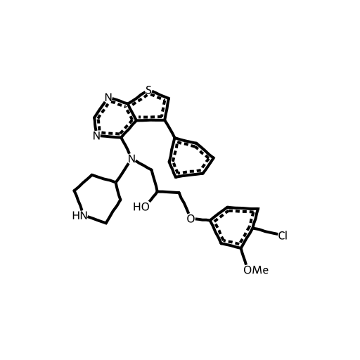 COc1cc(OCC(O)CN(c2ncnc3scc(-c4ccccc4)c23)C2CCNCC2)ccc1Cl